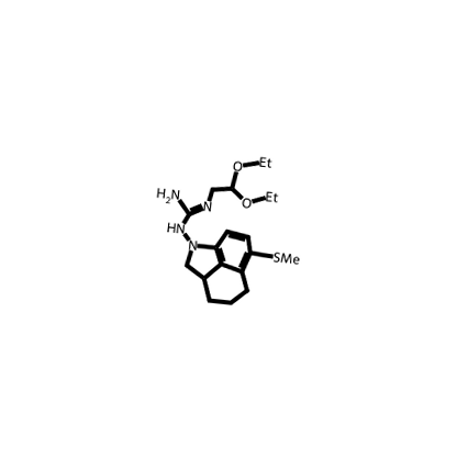 CCOC(CN=C(N)NN1CC2CCCc3c(SC)ccc1c32)OCC